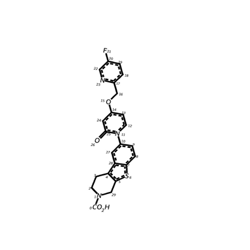 O=C(O)N1CCc2c(sc3ccc(-n4ccc(OCc5ccc(F)cn5)cc4=O)cc23)C1